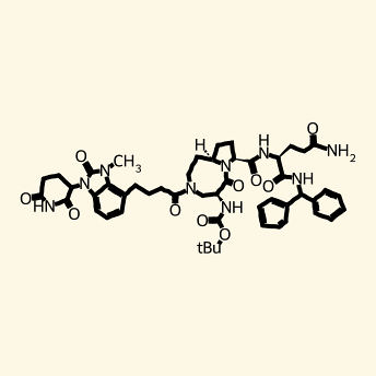 Cn1c(=O)n(C2CCC(=O)NC2=O)c2cccc(CCCC(=O)N3CC[C@H]4CC[C@@H](C(=O)N[C@@H](CCC(N)=O)C(=O)NC(c5ccccc5)c5ccccc5)N4C(=O)[C@@H](NC(=O)OC(C)(C)C)C3)c21